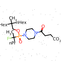 CCCCCCC(C)(CCCCCC)COP(=O)(N1CCN(C(=O)CCC(=O)O)CC1)C(C)(F)CCC